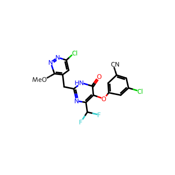 COc1nnc(Cl)cc1Cc1nc(C(F)F)c(Oc2cc(Cl)cc(C#N)c2)c(=O)[nH]1